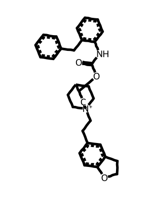 O=C(Nc1ccccc1Cc1ccccc1)OC1C[N+]2(CCc3ccc4c(c3)CCO4)CCC1CC2